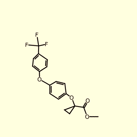 COC(=O)C1(Oc2ccc(Oc3ccc(C(F)(F)F)cc3)cc2)CC1